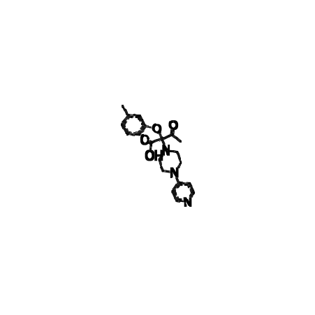 CC(=O)C(Oc1cccc(C)c1)(C(=O)O)N1CCN(c2ccncc2)CC1